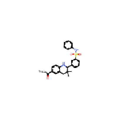 COC(=O)c1ccc2c(c1)CC(C)(C)C(c1cccc(S(=O)(=O)Nc3ccccc3)c1)N2